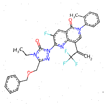 C=C(c1cn(-c2ccccc2C)c(=O)c2cc(F)c(-n3nc(COCc4ccccc4)n(CC)c3=O)nc12)C(F)(F)F